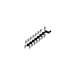 CC=C(F)C(F)(F)C(F)(F)C(F)(F)C(F)(F)C(F)(F)C(F)(F)C(F)(F)F